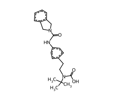 CC(C)(C)N(CCc1ccc(NC(=O)N2Cc3ccccc3C2)cc1)C(=O)O